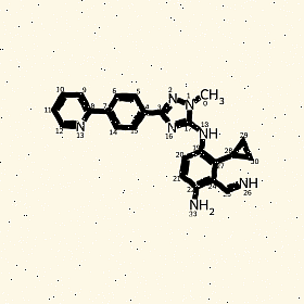 Cn1nc(-c2ccc(-c3ccccn3)cc2)nc1Nc1ccc(N)c(C=N)c1C1CC1